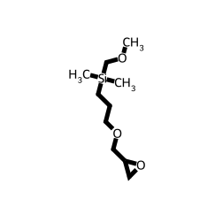 COC[Si](C)(C)CCCOCC1CO1